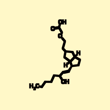 CCCCCC(O)C=C[C@@H]1CC[C@@H]2CC(CCOCC(=O)O)C[C@H]21